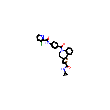 O=C(NC1CC1)c1cc2c(s1)-c1ccccc1N(C(=O)c1ccc(NC(=O)c3ncccc3Br)cc1)CC2